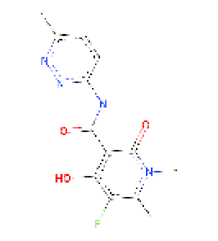 Cc1ccc(NC(=O)c2c(O)c(F)c(C)n(C)c2=O)nn1